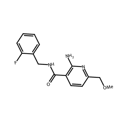 COCc1ccc(C(=O)NCc2ccccc2F)c(N)n1